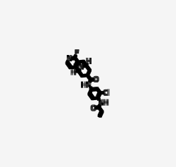 C=CC(=O)Nc1ccc(NC(=O)C2C[C@H]3Cc4c(ccnc4F)[C@@H](C2)N3)cc1Cl